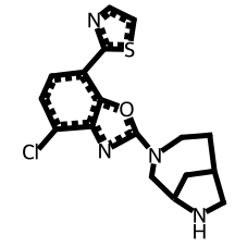 Clc1ccc(-c2nccs2)c2oc(N3CCC4CNC(C4)C3)nc12